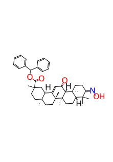 CC1(C(=O)OC(c2ccccc2)c2ccccc2)CC[C@]2(C)CC[C@]3(C)C(=CC(=O)[C@@H]4[C@@]5(C)CC/C(=N/O)C(C)(C)[C@@H]5CC[C@]43C)[C@@H]2C1